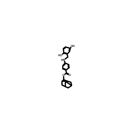 O=C(OC1C2CC3CC(C2)CC1C3)c1ccc(NCc2cc(O)ccc2O)cc1